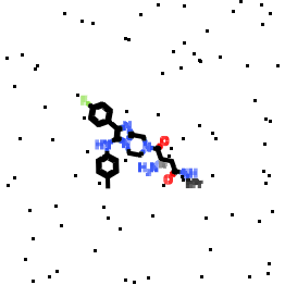 CCCNC(=O)C[C@H](N)C(=O)N1CCn2c(nc(-c3ccc(F)cc3)c2Nc2ccc(C)cc2)C1